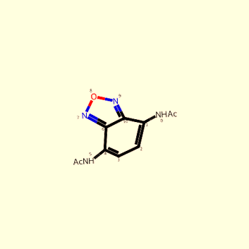 CC(=O)Nc1ccc(NC(C)=O)c2nonc12